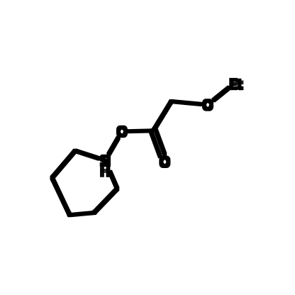 CCOCC(=O)O[SiH]1CCCCC1